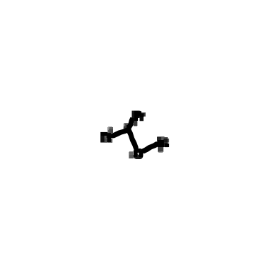 CCO[C](CC)C(C)C